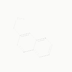 CCCC(C)Cc1ccc2ccccc2c1